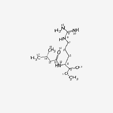 COC(=O)C(CCCNC(=N)N)NC(=O)CC(C)C